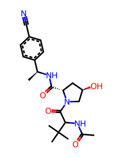 CC(=O)NC(C(=O)N1C[C@H](O)C[C@H]1C(=O)N[C@@H](C)c1ccc(C#N)cc1)C(C)(C)C